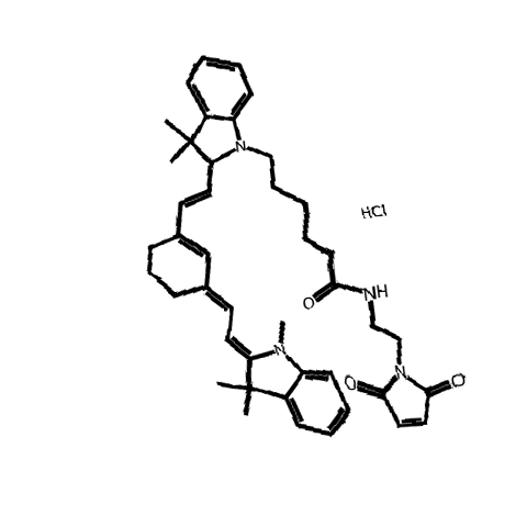 CN1C(=CC=C2C=C(C=CC3N(CCCCCC(=O)NCCN4C(=O)C=CC4=O)c4ccccc4C3(C)C)CCC2)C(C)(C)c2ccccc21.Cl